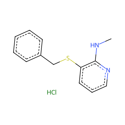 CNc1ncccc1SCc1ccccc1.Cl